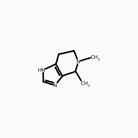 CC1c2nc[nH]c2CCN1C